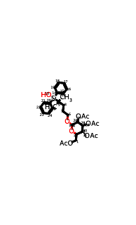 CC(=O)OCC1O[C@@H](OCCCC(C)(C)[Si](O)(c2ccccc2)c2ccccc2)C(OC(C)=O)C(OC(C)=O)[C@@H]1OC(C)=O